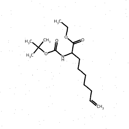 C=CCCCCCC(NC(=O)OC(C)(C)C)C(=O)OCC